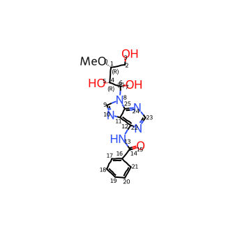 CO[C@H](CO)[C@@H](O)[C@@H](O)n1cnc2c(NC(=O)c3ccccc3)ncnc21